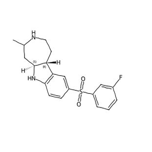 CC1C[C@@H]2Nc3ccc(S(=O)(=O)c4cccc(F)c4)cc3[C@H]2CCN1